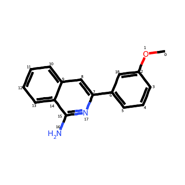 COc1cccc(-c2cc3ccccc3c(N)n2)c1